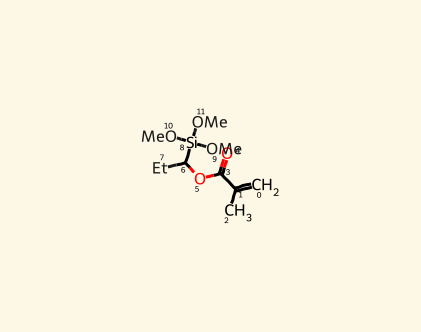 C=C(C)C(=O)OC(CC)[Si](OC)(OC)OC